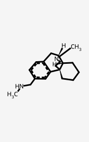 CNCc1ccc2c(c1)[C@@]13CCCC[C@H]1[C@@H](C2)N(C)CC3